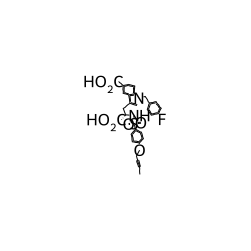 CC#CCOc1ccc(S(=O)(=O)N[C@@H](Cc2cn(Cc3ccc(F)cc3)c3ccc(C(=O)O)cc23)C(=O)O)cc1